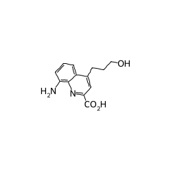 Nc1cccc2c(CCCO)cc(C(=O)O)nc12